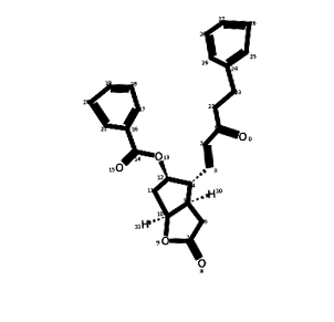 O=C(/C=C/[C@@H]1[C@H]2CC(=O)O[C@H]2C[C@H]1OC(=O)c1ccccc1)CCc1ccccc1